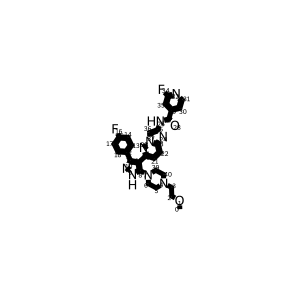 COCCN1CCN(c2[nH]nc(-c3ccc(F)cc3)c2-c2ccc3nc(NC(=O)c4ccnc(F)c4)cn3n2)CC1